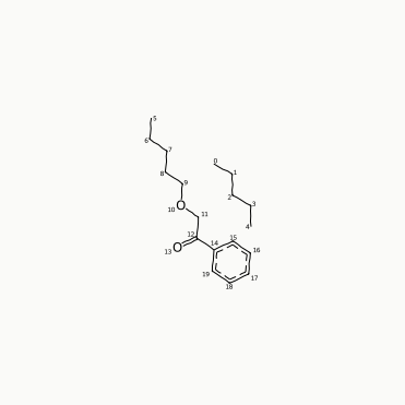 CCCCC.CCCCCOCC(=O)c1ccccc1